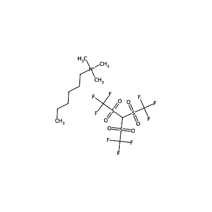 CCCCCC[N+](C)(C)C.O=S(=O)(C(S(=O)(=O)C(F)(F)F)S(=O)(=O)C(F)(F)F)C(F)(F)F